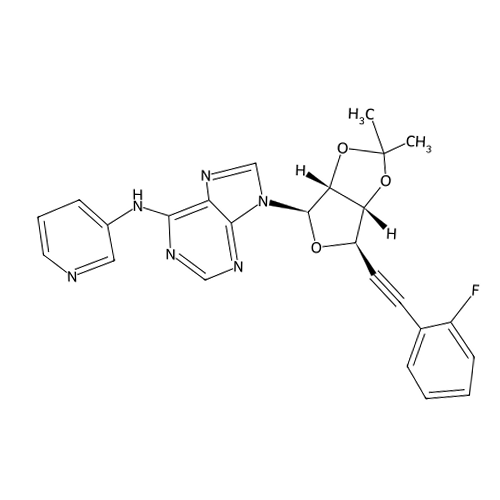 CC1(C)O[C@@H]2[C@H](O1)[C@@H](C#Cc1ccccc1F)O[C@H]2n1cnc2c(Nc3cccnc3)ncnc21